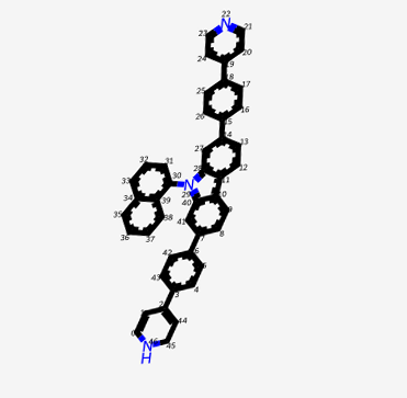 C1=CC(c2ccc(-c3ccc4c5ccc(-c6ccc(-c7ccncc7)cc6)cc5n(-c5cccc6ccccc56)c4c3)cc2)=CCN1